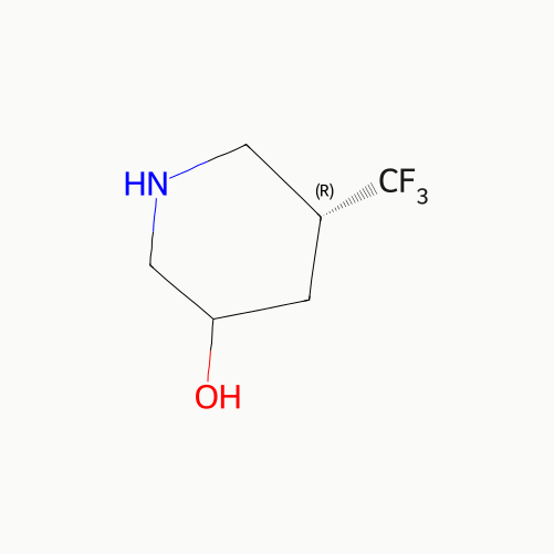 OC1CNC[C@H](C(F)(F)F)C1